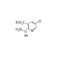 CCOC(=O)c1cc(Cl)cnc1[C@@H](N)C(C)C